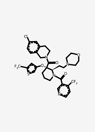 O=C(c1cnccc1C(F)(F)F)N1CCC[C@@](Oc2csc(C(F)(F)F)c2)(C(=O)N2CCc3cc(Cl)ccc3C2)[C@H]1CCN1CCOCC1